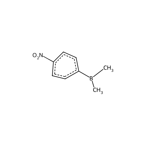 CB(C)c1ccc([N+](=O)[O-])cc1